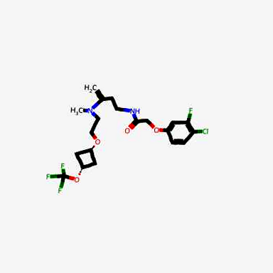 C=C(CCNC(=O)COc1ccc(Cl)c(F)c1)N(C)CCO[C@H]1C[C@@H](OC(F)(F)F)C1